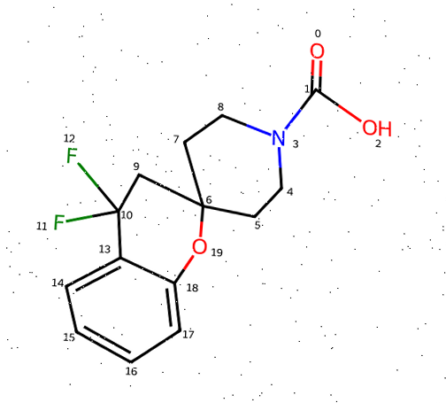 O=C(O)N1CCC2(CC1)CC(F)(F)c1ccccc1O2